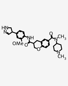 COc1cc(C2C=NNC2)ccc1NC(=O)C1COc2ccc(C(=O)N(C)C3CCN(C)CC3)cc2C1